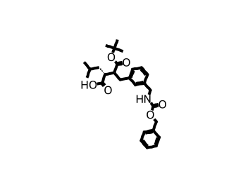 CC(C)C[C@@H](C(=O)O)C(Cc1cccc(CNC(=O)OCc2ccccc2)c1)C(=O)OC(C)(C)C